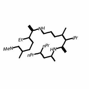 C=C(NCCCC(C)C(C(=C)NC(C)CC(CCC)CCC)C(C)C)C(CC)CCC(C)CNC